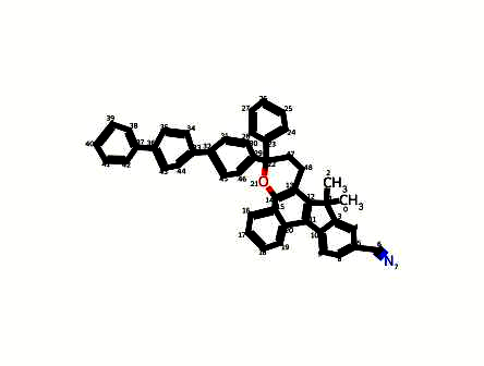 CC1(C)c2cc(C#N)ccc2-c2c1c1c(c3ccccc23)OC(c2ccccc2)(c2ccc(-c3ccc(-c4ccccc4)cc3)cc2)CC1